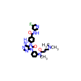 CN(C)C/C=C/C(=O)N(C)c1cccc(-n2c(=O)n(-c3ccc(C(=O)Nc4cncc(F)c4)cc3)c3c(N)ncnc32)c1